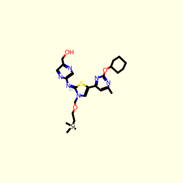 Cc1cc(-c2cn(COCC[Si](C)(C)C)/c(=N/c3cnc(CO)cn3)s2)nc(OC2CCCCC2)n1